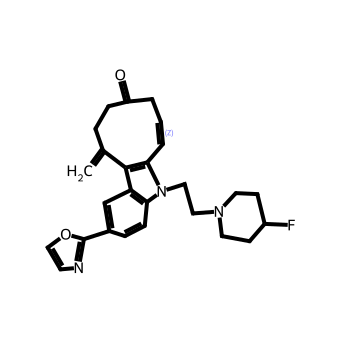 C=C1CCC(=O)C/C=C\c2c1c1cc(-c3ncco3)ccc1n2CCN1CCC(F)CC1